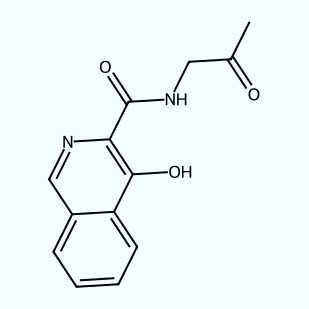 CC(=O)CNC(=O)c1ncc2ccccc2c1O